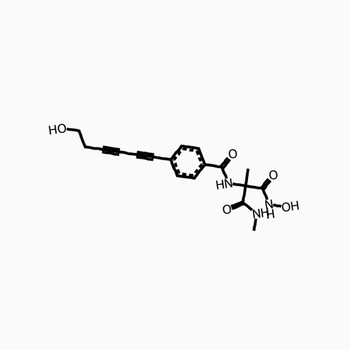 CNC(=O)C(C)(NC(=O)c1ccc(C#CC#CCCO)cc1)C(=O)NO